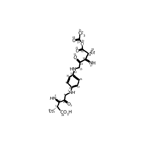 CC[C@H](C(=N)C(=O)CNc1ccc(NCC(=O)C(=N)[C@@H](CC)C(=O)OC(=O)C(F)(F)F)cc1)C(=O)O